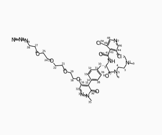 CN(C)CCN(C)C(=O)[C@H](Cc1ccc(-c2c(OCCOCCOCCOCCN=[N+]=[N-])cnn(C)c2=O)cc1)NC(=O)c1c(Cl)cncc1Cl